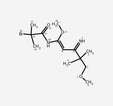 COCC(C)(C)C(=N)/C=C(/NC(=O)C(C)(C)Br)OC